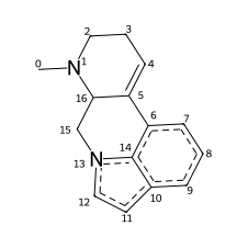 CN1CCC=C2c3cccc4ccn(c34)CC21